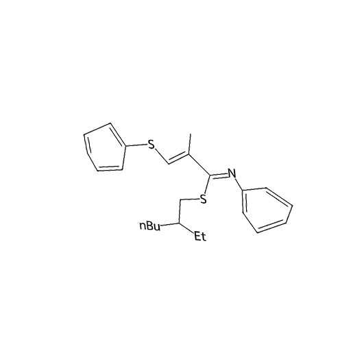 CCCCC(CC)CSC(=N\c1ccccc1)/C(C)=C/Sc1ccccc1